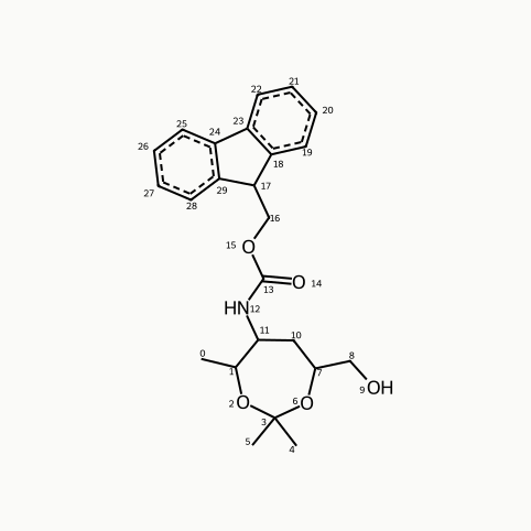 CC1OC(C)(C)OC(CO)CC1NC(=O)OCC1c2ccccc2-c2ccccc21